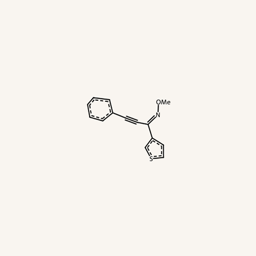 CON=C(C#Cc1ccccc1)c1ccsc1